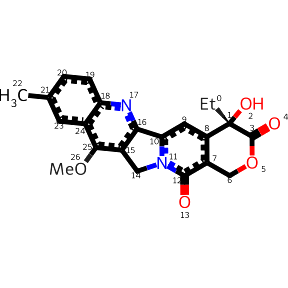 CC[C@@]1(O)C(=O)OCc2c1cc1n(c2=O)Cc2c-1nc1ccc(C)cc1c2OC